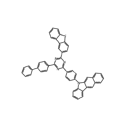 c1ccc(-c2ccc(-c3nc(-c4ccc(-n5c6ccccc6c6cc7ccccc7cc65)cc4)nc(-c4ccc5sc6ccccc6c5c4)n3)cc2)cc1